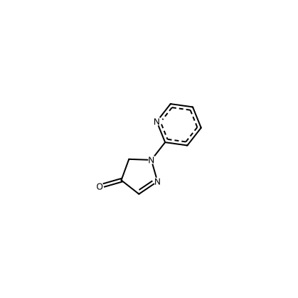 O=C1C=NN(c2ccccn2)C1